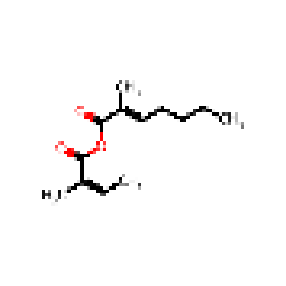 CC=C(C)C(=O)OC(=O)C(C)=CCCCC